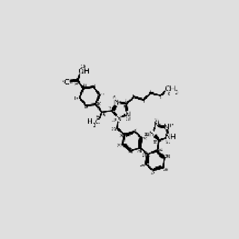 CCCCCc1nc(C(C)C2CCC(C(=O)O)CC2)n(Cc2ccc(-c3ccccc3-c3nnn[nH]3)cc2)n1